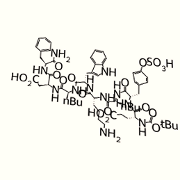 CCCC[C@H](NC(=O)[C@H](Cc1c[nH]c2ccccc12)NC(=O)[C@@H](CCCCN)NC(=O)[C@H](CCCC)NC(=O)[C@H](Cc1ccc(OS(=O)(=O)O)cc1)NC(=O)[C@@H](CCC(=O)O)NC(=O)OC(C)(C)C)C(=O)N[C@@H](CC(=O)O)C(=O)N[C@@H](Cc1ccccc1)C(N)=O